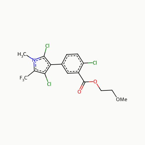 COCCOC(=O)c1cc(-c2c(Cl)c(C(F)(F)F)n(C)c2Cl)ccc1Cl